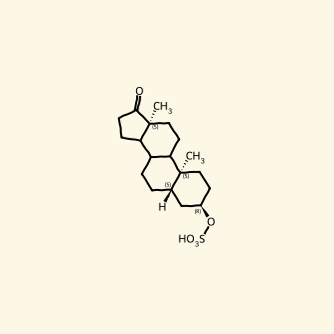 C[C@]12CCC3C(CC[C@H]4C[C@H](OS(=O)(=O)O)CC[C@]34C)C1CCC2=O